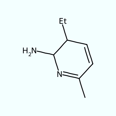 CCC1C=CC(C)=NC1N